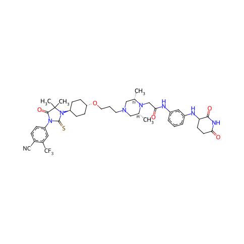 C[C@@H]1CN(CCCO[C@H]2CC[C@H](N3C(=S)N(c4ccc(C#N)c(C(F)(F)F)c4)C(=O)C3(C)C)CC2)C[C@H](C)N1CC(=O)Nc1cccc(NC2CCC(=O)NC2=O)c1